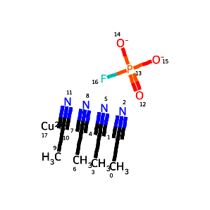 CC#N.CC#N.CC#N.CC#N.O=P([O-])([O-])F.[Cu+2]